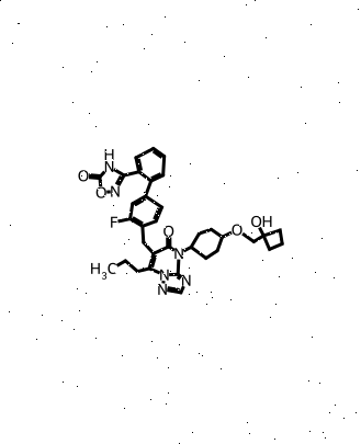 CCCc1c(Cc2ccc(-c3ccccc3-c3noc(=O)[nH]3)cc2F)c(=O)n(C2CCC(OCC3(O)CCC3)CC2)c2ncnn12